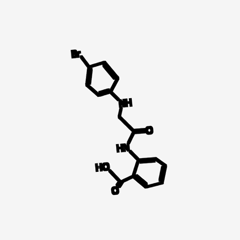 O=C(CNc1ccc(Br)cc1)Nc1ccccc1C(=O)O